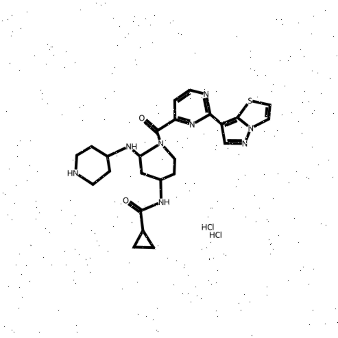 Cl.Cl.O=C(NC1CCN(C(=O)c2ccnc(-c3cnn4ccsc34)n2)C(NC2CCNCC2)C1)C1CC1